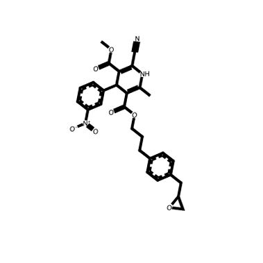 COC(=O)C1=C(C#N)NC(C)=C(C(=O)OCCCc2ccc(CC3CO3)cc2)C1c1cccc([N+](=O)[O-])c1